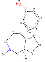 CN1CCC[C@@]2(c3cccc(O)c3)CCC[C@H]2C1